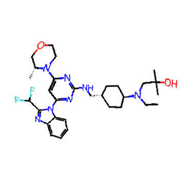 CCN(CC(C)(C)O)[C@H]1CC[C@H](CNc2nc(N3CCOC[C@H]3C)cc(-n3c(C(F)F)nc4ccccc43)n2)CC1